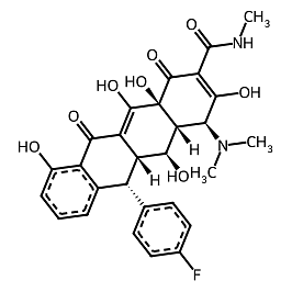 CNC(=O)C1=C(O)[C@@H](N(C)C)[C@@H]2[C@@H](O)[C@H]3C(=C(O)[C@]2(O)C1=O)C(=O)c1c(O)cccc1[C@H]3c1ccc(F)cc1